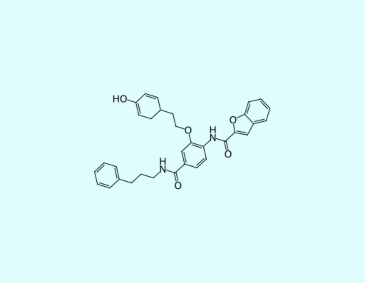 O=C(NCCCc1ccccc1)c1ccc(NC(=O)c2cc3ccccc3o2)c(OCCC2C=CC(O)=CC2)c1